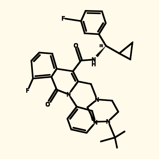 CC(C)(C)N1CCN(Cc2c(C(=O)N[C@H](c3cccc(F)c3)C3CC3)c3cccc(F)c3c(=O)n2-c2cccnc2)CC1